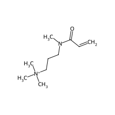 C=CC(=O)N(C)CCC[N+](C)(C)C